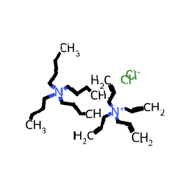 C=CC[N+](CC=C)(CC=C)CC=C.CCCC[N+](CCCC)(CCCC)CCCC.[Cl-].[Cl-]